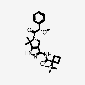 CO[C@H](C(=O)N1Cc2c(NC(=O)C3([Si](C)(C)C)CCC3)n[nH]c2C1(C)C)c1ccccc1